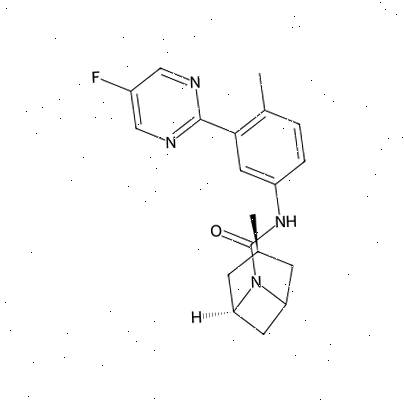 Cc1ccc(NC(=O)N2C3C[C@H](C)C[C@@H]2C3)cc1-c1ncc(F)cn1